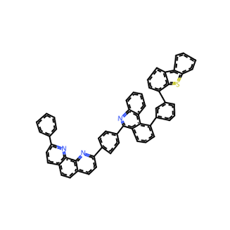 c1ccc(-c2ccc3ccc4ccc(-c5ccc(-c6nc7ccccc7c7c(-c8cccc(-c9cccc%10c9sc9ccccc9%10)c8)cccc67)cc5)nc4c3n2)cc1